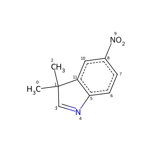 CC1(C)[C]=Nc2ccc([N+](=O)[O-])cc21